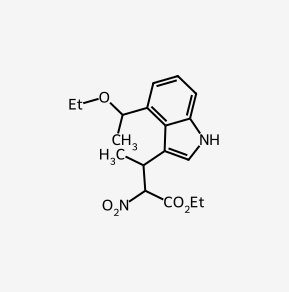 CCOC(=O)C(C(C)c1c[nH]c2cccc(C(C)OCC)c12)[N+](=O)[O-]